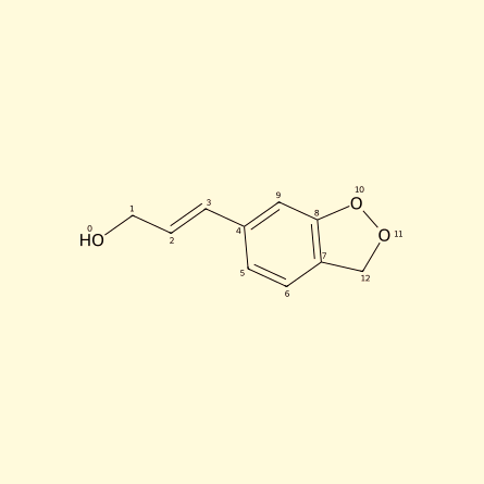 OC/C=C/c1ccc2c(c1)OOC2